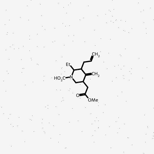 C=CCC1C(=C)C(CC(=O)OC)CN(C(=O)O)C1CC